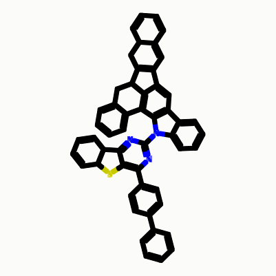 C1=CC2=CC3=C(CC2C=C1)C1Cc2ccccc2-c2c1c3cc1c3ccccc3n(-c3nc(-c4ccc(-c5ccccc5)cc4)c4c(n3)C3C=CC=CC3S4)c21